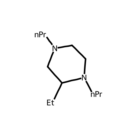 CCCN1CCN(CCC)C(CC)C1